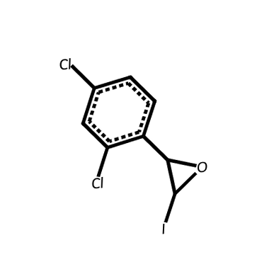 Clc1ccc(C2OC2I)c(Cl)c1